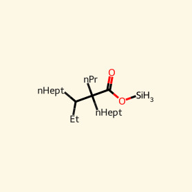 CCCCCCCC(CC)C(CCC)(CCCCCCC)C(=O)O[SiH3]